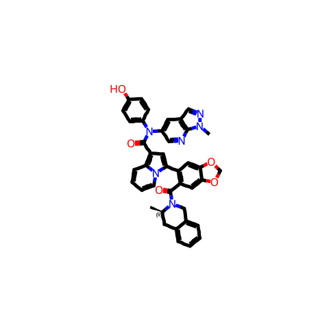 C[C@@H]1Cc2ccccc2CN1C(=O)c1cc2c(cc1-c1cc(C(=O)N(c3ccc(O)cc3)c3cnc4c(cnn4C)c3)c3ccccn13)OCO2